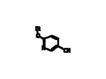 CCOc1ccc(C#N)cn1